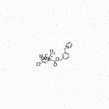 CS/C(Cl)=C\C1C(C(=O)OCc2cccc(Cn3cccc3)c2)C1(C)C